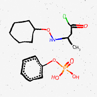 CC(NOC1CCCCC1)C(=O)Cl.O=P(O)(O)Oc1ccccc1